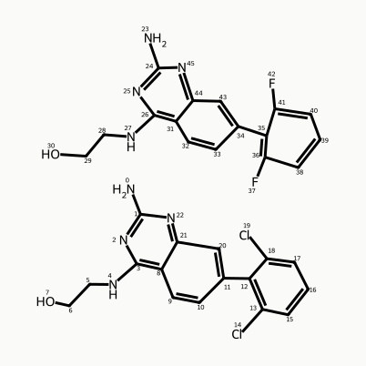 Nc1nc(NCCO)c2ccc(-c3c(Cl)cccc3Cl)cc2n1.Nc1nc(NCCO)c2ccc(-c3c(F)cccc3F)cc2n1